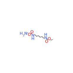 CCOC(=O)NCCCCCCNC(=O)OCN